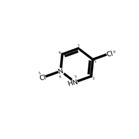 ClC1=CNN(Cl)C=C1